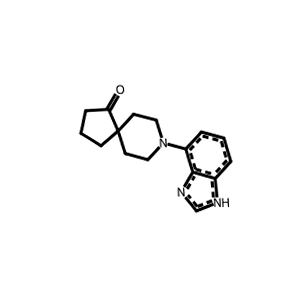 O=C1CCCC12CCN(c1cccc3[nH]cnc13)CC2